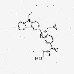 CCn1c2ccccc2c2cc(-c3nc4cc(C(=O)N5CC(O)C5)ccc4n3CC3CC3)ccc21